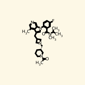 CC(=O)N1CCC[C@H](CN2CC(Cc3cn(-c4ccc(F)cc4C(=O)N(C)C(C)C)c4cncc(C)c34)C2)C1